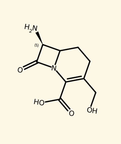 N[C@@H]1C(=O)N2C(C(=O)O)=C(CO)CCC12